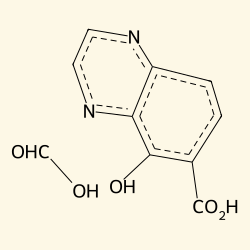 O=C(O)c1ccc2nccnc2c1O.O=CO